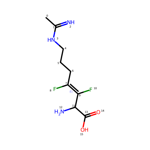 CC(=N)NCCC/C(F)=C(\F)C(N)C(=O)O